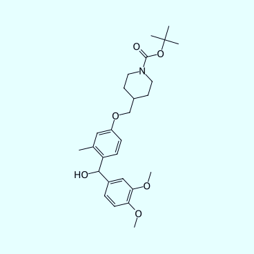 COc1ccc(C(O)c2ccc(OCC3CCN(C(=O)OC(C)(C)C)CC3)cc2C)cc1OC